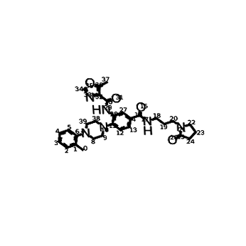 Cc1ccccc1N1CCN(c2ccc(C(=O)NCCCN3CCCC3=O)cc2NC(=O)c2ncoc2C)CC1